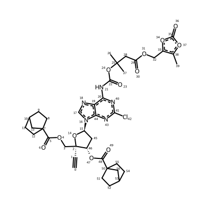 C#C[C@]1(COC(=O)C23CCC(CC2)C3)O[C@@H](n2cnc3c(NC(=O)OC(C)(C)CC(=O)OCc4oc(=O)oc4C)nc(Cl)nc32)C[C@@H]1OC(=O)C12CCC(CC1)C2